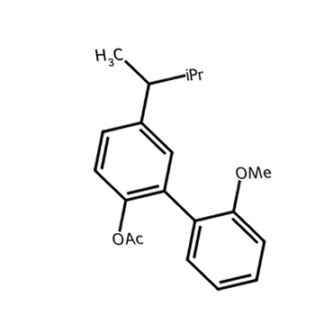 COc1ccccc1-c1cc(C(C)C(C)C)ccc1OC(C)=O